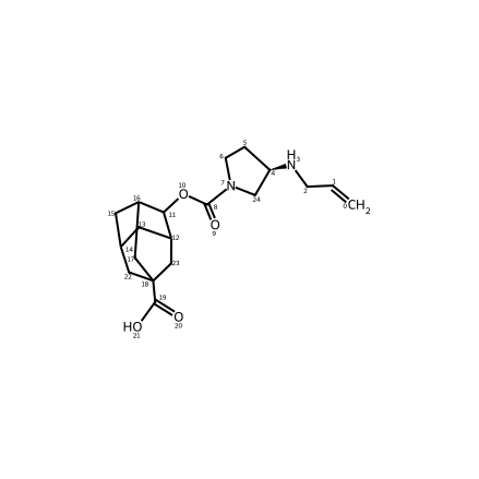 C=CCN[C@@H]1CCN(C(=O)OC2C3CC4CC2CC(C(=O)O)(C4)C3)C1